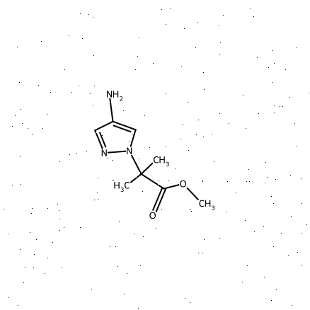 COC(=O)C(C)(C)n1cc(N)cn1